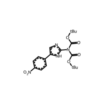 CC(C)(C)OC(=O)N(C(=O)OC(C)(C)C)c1ncc(-c2ccc([N+](=O)[O-])cc2)[nH]1